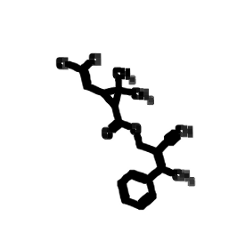 C#CC(COC(=O)C1C(C=C(Cl)Cl)C1(C)C)=C(C)c1ccccc1